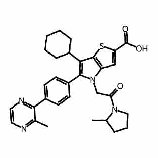 Cc1nccnc1-c1ccc(-c2c(C3CCCCC3)c3sc(C(=O)O)cc3n2CC(=O)N2CCCC2C)cc1